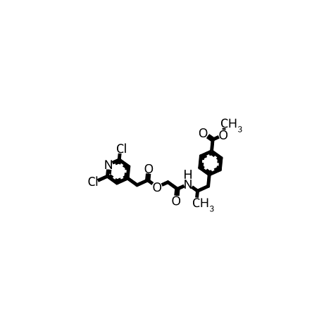 COC(=O)c1ccc(CC(C)NC(=O)COC(=O)Cc2cc(Cl)nc(Cl)c2)cc1